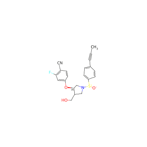 CC#Cc1ccc([S+]([O-])N2CC(CO)[C@@H](Oc3ccc(C#N)c(F)c3)C2)cc1